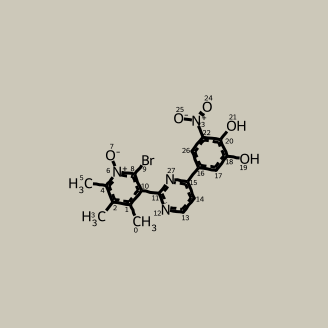 Cc1c(C)c(C)[n+]([O-])c(Br)c1-c1nccc(-c2cc(O)c(O)c([N+](=O)[O-])c2)n1